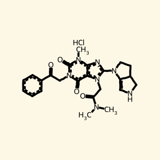 CN(C)C(=O)Cn1c(N2CCC3CNC=C32)nc2c1c(=O)n(CC(=O)c1ccccc1)c(=O)n2C.Cl